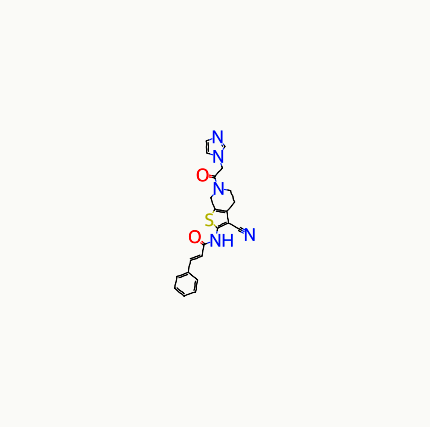 N#Cc1c(NC(=O)/C=C/c2ccccc2)sc2c1CCN(C(=O)Cn1ccnc1)C2